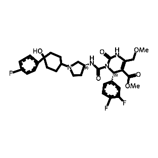 COCC1=C(C(=O)OC)[C@H](c2ccc(F)c(F)c2)N(C(=O)N[C@@H]2CCN(C3CCC(O)(c4ccc(F)cc4)CC3)C2)C(=O)N1